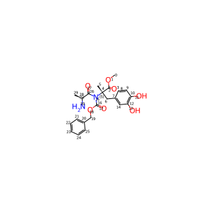 COC(=O)[C@](C)(Cc1ccc(O)c(O)c1)N(C(=O)OCc1ccccc1)C(=O)[C@H](C)N